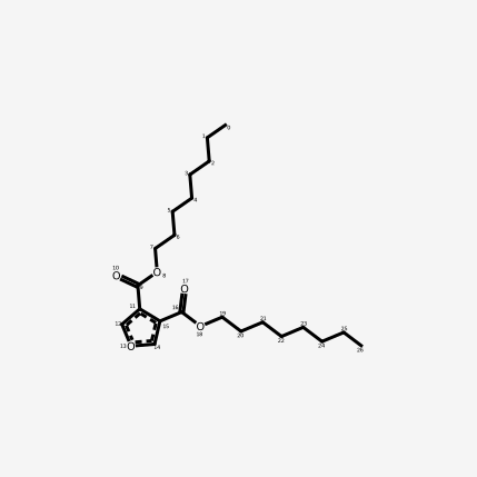 CCCCCCCCOC(=O)c1cocc1C(=O)OCCCCCCCC